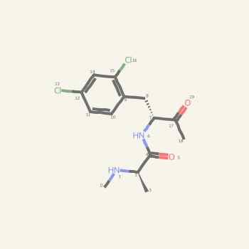 CN[C@H](C)C(=O)N[C@H](Cc1ccc(Cl)cc1Cl)C(C)=O